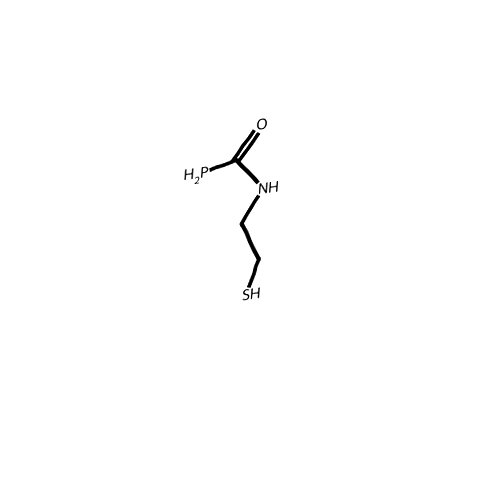 O=C(P)NCCS